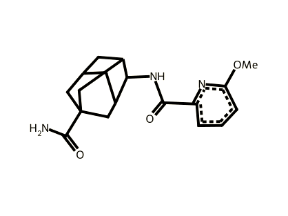 COc1cccc(C(=O)NC2C3CC4CC2CC(C(N)=O)(C4)C3)n1